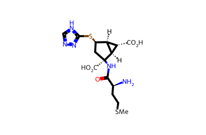 CSCC[C@H](N)C(=O)N[C@@]1(C(=O)O)C[C@@H](Sc2nnc[nH]2)[C@H]2[C@H](C(=O)O)[C@H]21